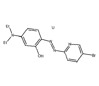 CCN(CC)c1ccc(N=Nc2ccc(Br)cn2)c(O)c1.[U]